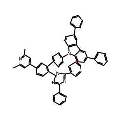 Cc1cc(-c2ccc(-c3nc(-c4ccccc4)nc(-c4ccccc4)n3)c(-c3ccc(-n4c5ccc(-c6ccccc6)cc5c5cc(-c6ccccc6)ccc54)cc3)c2)cc(C)n1